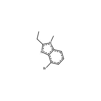 CCc1nc2c(Br)cccc2n1C